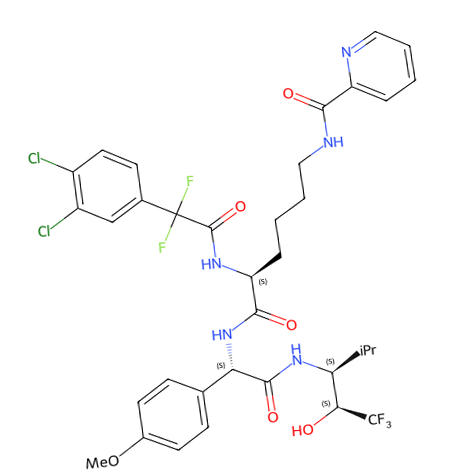 COc1ccc([C@H](NC(=O)[C@H](CCCCNC(=O)c2ccccn2)NC(=O)C(F)(F)c2ccc(Cl)c(Cl)c2)C(=O)N[C@@H](C(C)C)[C@H](O)C(F)(F)F)cc1